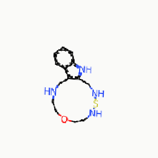 c1ccc2c3c([nH]c2c1)CNSNCCOCCNC3